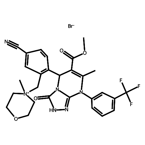 COC(=O)C1=C(C)N(c2cccc(C(F)(F)F)c2)c2n[nH]c(=O)n2C1c1ccc(C#N)cc1C[N+]1(C)CCOCC1.[Br-]